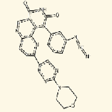 [N-]=[N+]=Nc1cccc(-n2c(=O)[nH]c(=O)c3cnc4ccc(-c5cnc(N6CCOCC6)nc5)nc4c32)c1